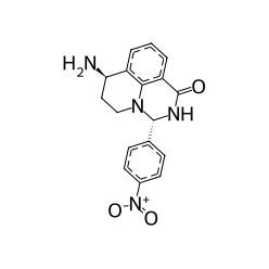 N[C@@H]1CCN2c3c(cccc31)C(=O)N[C@@H]2c1ccc([N+](=O)[O-])cc1